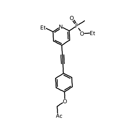 CCOP(C)(=O)c1cc(C#Cc2ccc(OCC(C)=O)cc2)cc(CC)n1